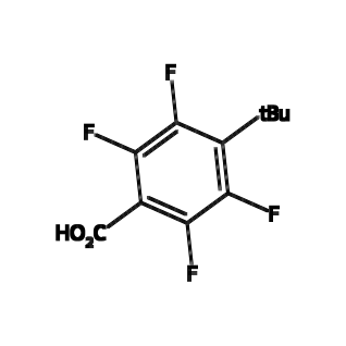 CC(C)(C)c1c(F)c(F)c(C(=O)O)c(F)c1F